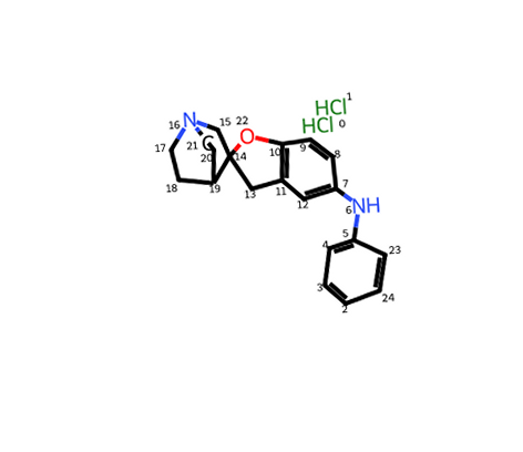 Cl.Cl.c1ccc(Nc2ccc3c(c2)CC2(CN4CCC2CC4)O3)cc1